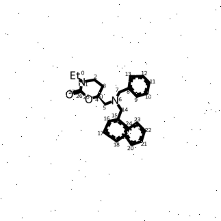 CCN1CC[C@@H](CN(Cc2ccccc2)Cc2cccc3ccccc23)OC1=O